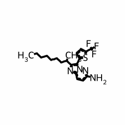 CCCCCCCC(C)c1nc2ccc(N)nn2c1-c1ccc(C(F)(F)F)s1